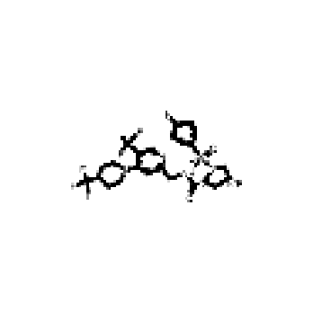 CC(F)(F)c1cnc(CNC(=O)[C@@H]2C[C@@H](F)CN2S(=O)(=O)c2ccc(F)cc2)cc1N1CCC(C(F)(F)F)CC1